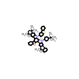 CC(C)(C)c1ccc(Nc2cc3c(cc2-c2c4c5c(c6cc7c(cc6n5-c5cc6c(cc5B4)sc4ccccc46)C(C)(C)CCC7(C)C)c4c2oc2ccccc24)C(C)(C)c2ccccc2-3)cc1